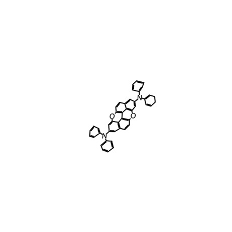 C1=CC(N(c2ccccc2)c2cc3ccc4oc5cc(N(c6ccccc6)c6ccccc6)cc6ccc7oc(c2)c3c4-c7c65)=CCC1